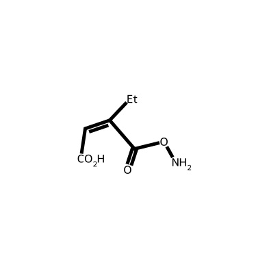 CCC(=CC(=O)O)C(=O)ON